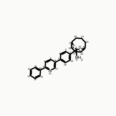 BC1(c2ccc(-c3ccc(-c4ccccc4)nc3)cc2)CC2CCCC(CCC2)C1